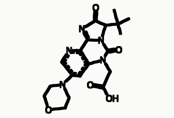 CC(C)(C)C1C(=O)N=C2c3ncc(N4CCOCC4)cc3N(CC(=O)O)C(=O)N21